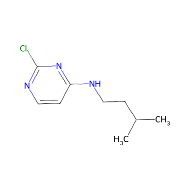 CC(C)CCNc1ccnc(Cl)n1